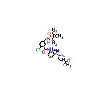 CC(=O)N1CCC(n2ncc3c(NC(=O)c4cc(CNC(=O)C(C)(C)C)ccc4Cl)cccc32)CC1